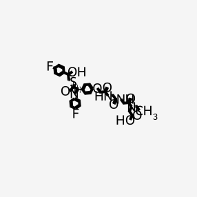 CCN(CC(=O)O)C(=O)CNC(=O)CNC(=O)COc1ccc([C@@H]2[C@@H](SCC(O)c3ccc(F)cc3)C(=O)N2c2ccc(F)cc2)cc1